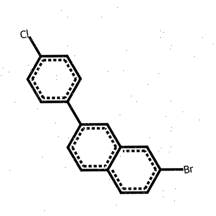 Clc1ccc(-c2ccc3ccc(Br)cc3c2)cc1